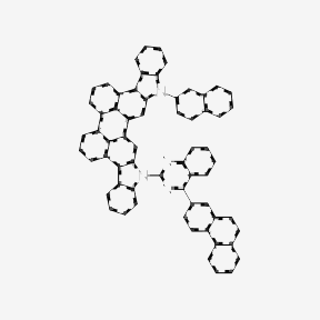 c1ccc2cc(-n3c4ccccc4c4c5cccc6c7cccc8c7c(cc7c8c8ccccc8n7-c7nc(-c8ccc9c(ccc%10ccccc%109)c8)c8ccccc8n7)c(cc43)c65)ccc2c1